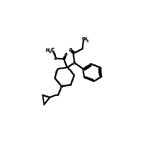 CCC(=O)N(c1ccccc1)C1(C(=O)OC)CCN(CC2CC2)CC1